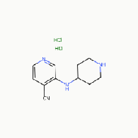 Cl.Cl.N#Cc1ccncc1NC1CCNCC1